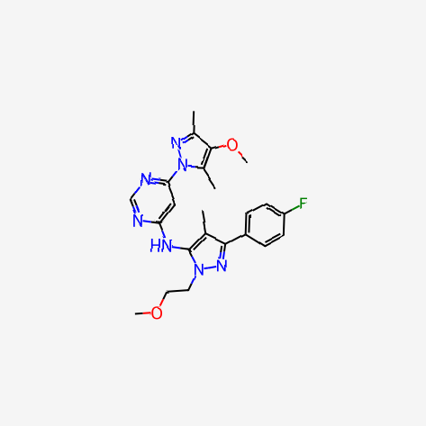 COCCn1nc(-c2ccc(F)cc2)c(C)c1Nc1cc(-n2nc(C)c(OC)c2C)ncn1